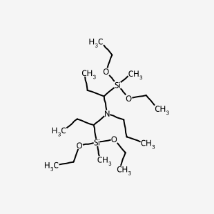 CCCN(C(CC)[Si](C)(OCC)OCC)C(CC)[Si](C)(OCC)OCC